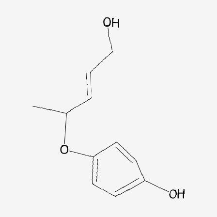 CC(C=CCO)Oc1ccc(O)cc1